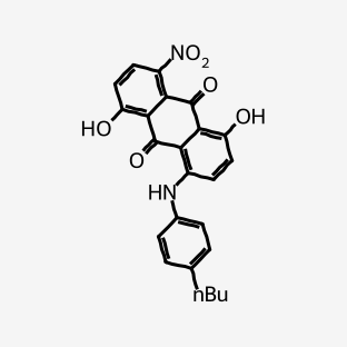 CCCCc1ccc(Nc2ccc(O)c3c2C(=O)c2c(O)ccc([N+](=O)[O-])c2C3=O)cc1